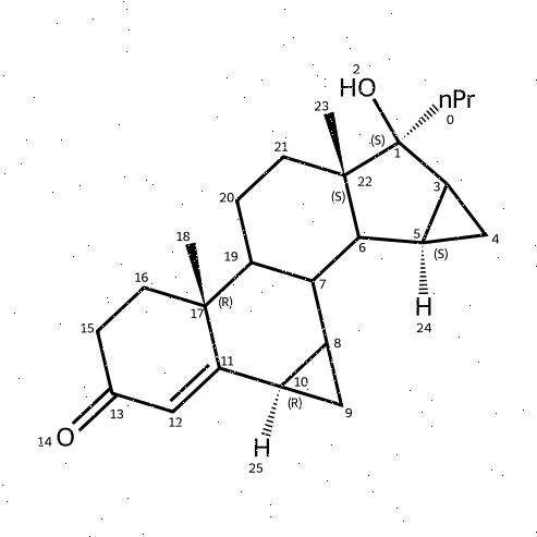 CCC[C@]1(O)C2C[C@H]2C2C3C4C[C@H]4C4=CC(=O)CC[C@]4(C)C3CC[C@@]21C